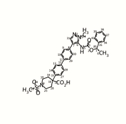 C[C@@H](OC(=O)Nc1c(-c2ccc(-c3ccc(C4(C(=O)O)CCN(S(C)(=O)=O)CC4)cc3)cc2)cnn1C)c1ccccc1